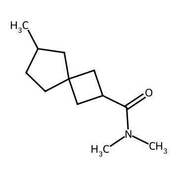 CC1CCC2(C1)CC(C(=O)N(C)C)C2